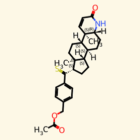 CC(=O)OCc1ccc(C(=S)[C@H]2CC[C@H]3[C@@H]4CC[C@H]5NC(=O)C=C[C@]5(C)[C@H]4CC[C@]23C)cc1